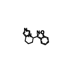 c1ccc2c(C3CCCc4cncn43)noc2c1